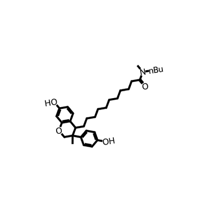 CCCCN(C)C(=O)CCCCCCCCCCC1c2ccc(O)cc2OCC1(C)c1ccc(O)cc1